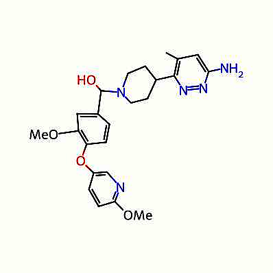 COc1ccc(Oc2ccc(C(O)N3CCC(c4nnc(N)cc4C)CC3)cc2OC)cn1